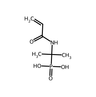 C=CC(=O)NC(C)(C)P(=O)(O)O